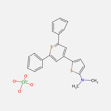 CN(C)c1ccc(-c2cc(-c3ccccc3)[s+]c(-c3ccccc3)c2)s1.[O-][Cl+3]([O-])([O-])[O-]